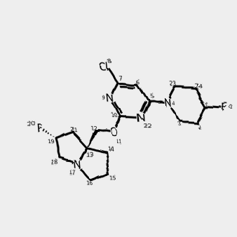 FC1CCN(c2cc(Cl)nc(OC[C@@]34CCCN3C[C@H](F)C4)n2)CC1